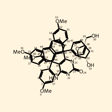 COc1ccc(C(c2ccccc2)(c2ccc(OC)cc2)c2c(N)nc(=O)n([C@@H]3O[C@H](CO)C[C@@H]3O)c2C(c2ccccc2)(c2ccc(OC)cc2)c2ccc(OC)cc2)cc1